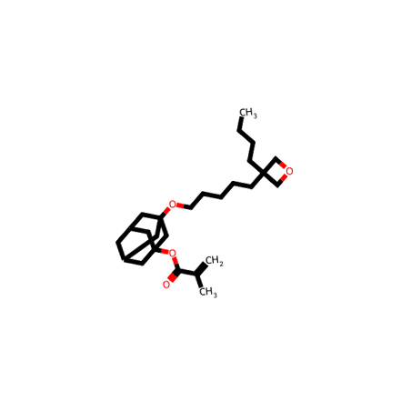 C=C(C)C(=O)OC12CC3CC(CC(OCCCCCC4(CCCC)COC4)(C3)C1)C2